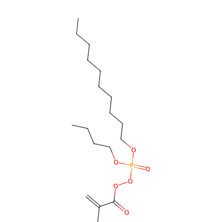 C=C(C)C(=O)OOP(=O)(OCCCC)OCCCCCCCCCC